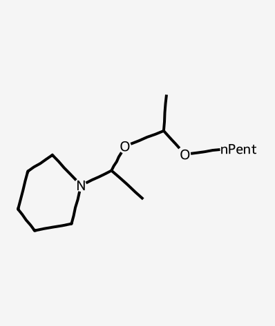 CCCCCOC(C)OC(C)N1CCCCC1